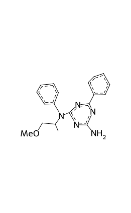 COCC(C)N(c1ccccc1)c1nc(N)nc(-c2ccccc2)n1